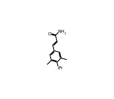 Cc1cc(/C=C/C(N)=O)cc(C)c1C(C)C